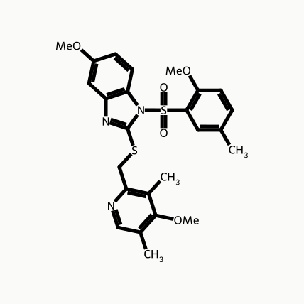 COc1ccc2c(c1)nc(SCc1ncc(C)c(OC)c1C)n2S(=O)(=O)c1cc(C)ccc1OC